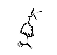 C[N+](C)(C)Cc1ccc(C(=O)O)cc1